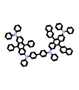 c1ccc(-c2c3ccc(N(c4ccccc4)c4ccc(-c5ccc(N(c6ccccc6)c6ccc7c(-c8ccc9ccccc9c8)c8cc(N(c9ccccc9)c9ccccc9)ccc8c(-c8ccc9ccccc9c8)c7c6)cc5)cc4)cc3c(-c3ccccc3)c3ccc(N(c4ccccc4)c4ccccc4)cc23)cc1